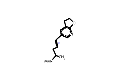 CNC(C)C/C=C/c1cnc2c(c1)CCO2